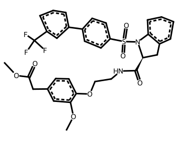 COC(=O)Cc1ccc(OCCNC(=O)[C@@H]2Cc3ccccc3N2S(=O)(=O)c2ccc(-c3cccc(C(F)(F)F)c3)cc2)c(OC)c1